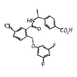 C[C@H](NC(=O)c1cc(Cl)ccc1COc1cc(F)cc(F)c1)c1ccc(C(=O)O)cc1